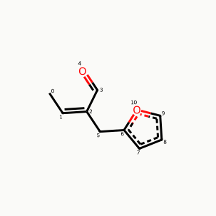 CC=C(C=O)Cc1ccco1